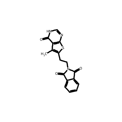 Cc1c(CCN2C(=O)c3ccccc3C2=O)sc2nc[nH]c(=O)c12